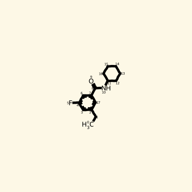 CCc1cc(F)cc(C(=O)NC2CCCCC2)c1